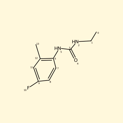 CCNC(=O)Nc1ccc(F)cc1C